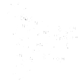 CCOC(=O)N1CCN(C(=O)[C@H](CCC(=O)O)NC(=O)c2cc(OC3CCN(Cc4ccccc4)CC3)nc(-c3ccccc3)n2)CC1.O=C(O)C(F)(F)F